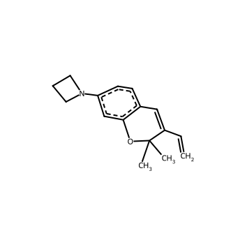 C=CC1=Cc2ccc(N3CCC3)cc2OC1(C)C